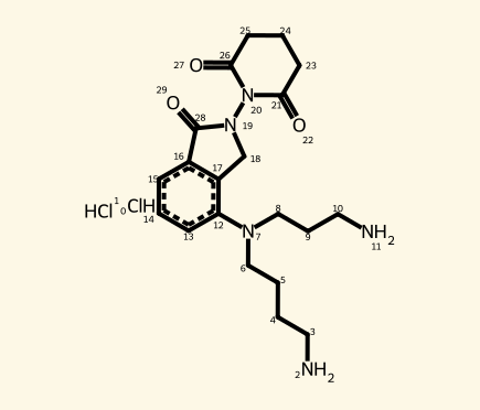 Cl.Cl.NCCCCN(CCCN)c1cccc2c1CN(N1C(=O)CCCC1=O)C2=O